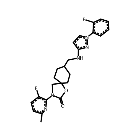 Cc1ccc(F)c(N2CC3(CCC(CNc4ccn(-c5ccccc5F)n4)CC3)OC2=O)n1